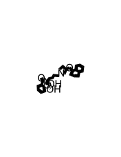 O=C1c2ccccc2S(O)(O)N1CCCCN1CCC(Oc2cccc3ccccc23)C1